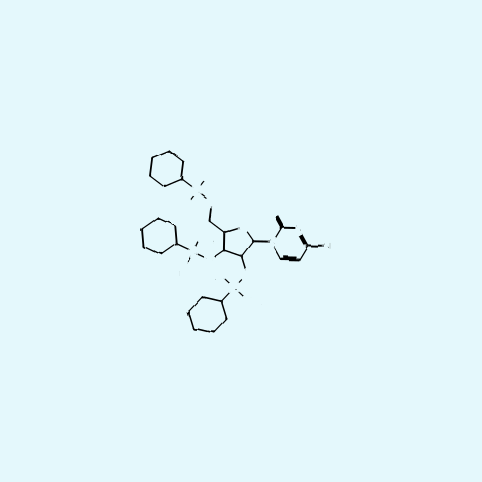 C[Si](C)(OCC1OC(n2ccc(N)nc2=O)C(O[Si](C)(C)C2CCCCC2)C1O[Si](C)(C)C1CCCCC1)C1CCCCC1